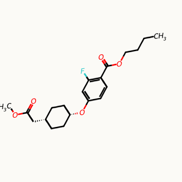 CCCCOC(=O)c1ccc(O[C@H]2CC[C@@H](CC(=O)OC)CC2)cc1F